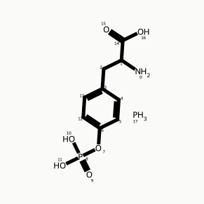 NC(Cc1ccc(OP(=O)(O)O)cc1)C(=O)O.P